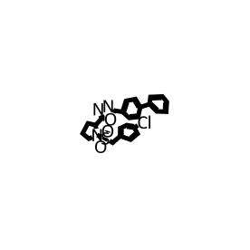 O=S(=O)(Cc1ccc(Cl)cc1)N1CCCC1c1nnc(-c2ccc(-c3ccccc3)cc2)o1